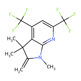 C=C1N(C)c2nc(C(F)(F)F)cc(C(F)(F)F)c2C1(C)C